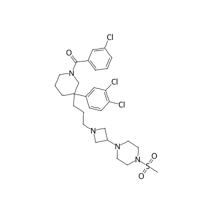 CS(=O)(=O)N1CCN(C2CN(CCCC3(c4ccc(Cl)c(Cl)c4)CCCN(C(=O)c4cccc(Cl)c4)C3)C2)CC1